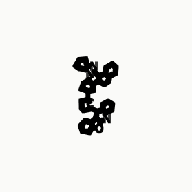 c1cc(-c2ccc3c(c2)c2ccc4ccccc4c2c2nc4ccccc4n32)cc(-c2c3ccccc3nc3oc4ccccc4c23)c1